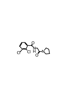 O=C(NCC(=O)N1CCCC1)c1cccc(Cl)c1Cl